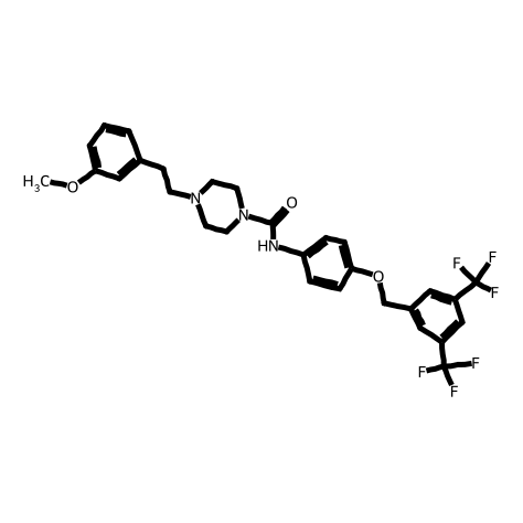 COc1cccc(CCN2CCN(C(=O)Nc3ccc(OCc4cc(C(F)(F)F)cc(C(F)(F)F)c4)cc3)CC2)c1